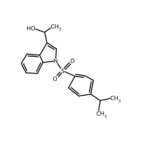 CC(C)c1ccc(S(=O)(=O)n2cc(C(C)O)c3ccccc32)cc1